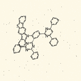 c1ccc(-c2cc(-c3ccccc3)nc(-c3ccc(-n4c5ccccc5c5cc6sc7ccccc7c6cc54)c(-c4nc(-c5ccccc5)nc(-c5ccccc5)n4)c3)n2)cc1